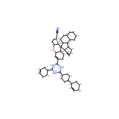 N#CC1CCC2OC3C=C(C4NC(C5CC=CCC5)NC(C5CCC(C6C=CCCC6)CC5)N4)CCC3C3(C4C=CCCC4C4C5CCCCC5CCC43)C2C1